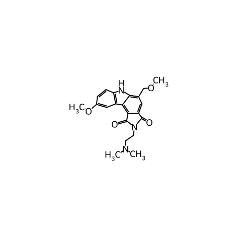 COCc1cc2c(c3c1[nH]c1ccc(OC)cc13)C(=O)N(CCN(C)C)C2=O